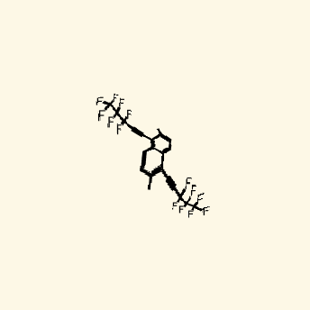 Cc1ccc2c(C#CC(F)(F)C(F)(F)C(F)(F)F)c(C)ccc2c1C#CC(F)(F)C(F)(F)C(F)(F)F